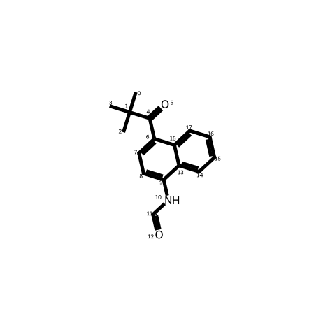 CC(C)(C)C(=O)c1ccc(N[C]=O)c2ccccc12